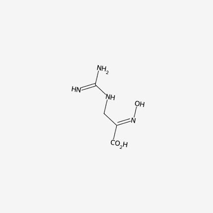 N=C(N)NC/C(=N\O)C(=O)O